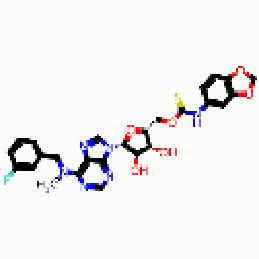 CN(Cc1cccc(F)c1)c1ncnc2c1ncn2[C@@H]1O[C@H](COC(=S)Nc2ccc3c(c2)OCO3)[C@@H](O)[C@H]1O